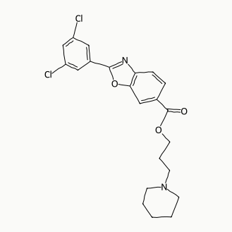 O=C(OCCCN1CCCCC1)c1ccc2nc(-c3cc(Cl)cc(Cl)c3)oc2c1